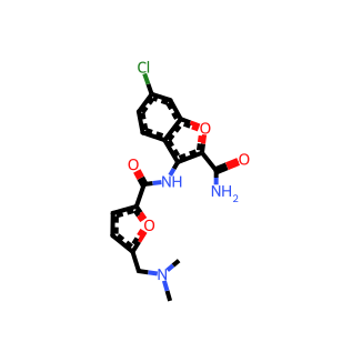 CN(C)Cc1ccc(C(=O)Nc2c(C(N)=O)oc3cc(Cl)ccc23)o1